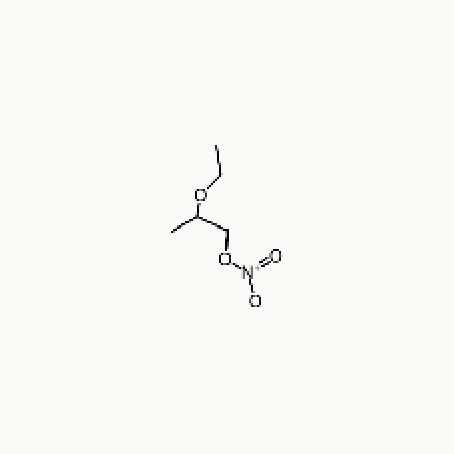 CCOC(C)CO[N+](=O)[O-]